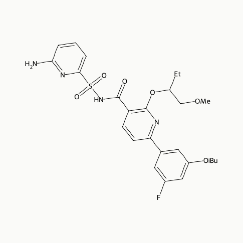 CCC(COC)Oc1nc(-c2cc(F)cc(OCC(C)C)c2)ccc1C(=O)NS(=O)(=O)c1cccc(N)n1